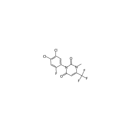 Cn1c(C(F)(F)F)cc(=O)n(-c2cc(Cl)c(Cl)cc2F)c1=O